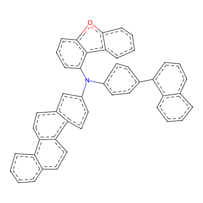 c1ccc2c(-c3ccc(N(c4ccc5c(ccc6c7ccccc7ccc56)c4)c4cccc5oc6ccccc6c45)cc3)cccc2c1